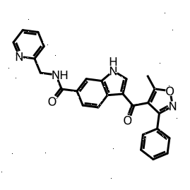 Cc1onc(-c2ccccc2)c1C(=O)c1c[nH]c2cc(C(=O)NCc3ccccn3)ccc12